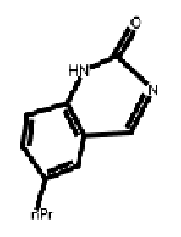 CCCc1ccc2[nH]c(=O)ncc2c1